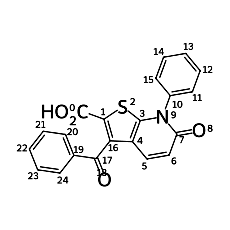 O=C(O)c1sc2c(ccc(=O)n2-c2ccccc2)c1C(=O)c1ccccc1